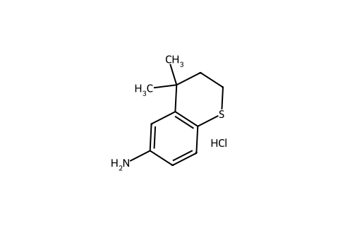 CC1(C)CCSc2ccc(N)cc21.Cl